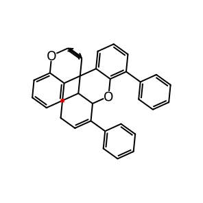 C1=C(c2ccccc2)C2Oc3c(-c4ccccc4)cccc3C3(c4ccccc4Oc4ccccc43)C2CC1